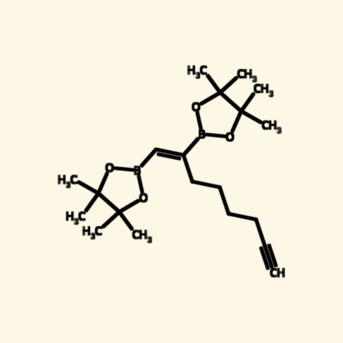 C#CCCCCC(=CB1OC(C)(C)C(C)(C)O1)B1OC(C)(C)C(C)(C)O1